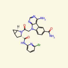 NC(=O)c1ccc2c(c1)c1c(N)ncnc1n2CC(=O)N1[C@@H]2CC2C[C@H]1C(=O)Nc1cccc(Br)n1